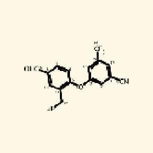 N#Cc1cc(Oc2ccc(C=O)cc2CF)cc(C(F)(F)F)c1